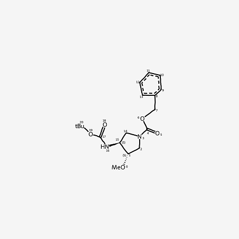 CO[C@H]1CN(C(=O)OCc2ccccc2)C[C@@H]1NC(=O)OC(C)(C)C